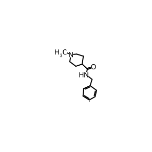 CN1CCC(C(=O)NCc2cc[c]cc2)CC1